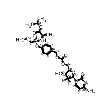 COCP(=O)(NC(C)C(=O)OC(C)C)Oc1ccc(COC(=O)OC[C@H]2O[C@@H](n3ccc(N)nc3=O)C(F)(F)[C@@H]2O)cc1